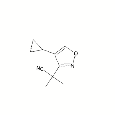 CC(C)(C#N)c1nocc1C1CC1